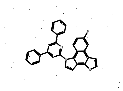 Brc1ccc2c(c1)c1ccsc1c1ccn(-c3nc(-c4ccccc4)nc(-c4ccccc4)n3)c21